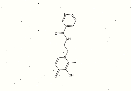 Cc1c(O)c(=O)ccn1CCNC(=O)c1cccnc1